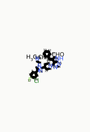 CN(C)CCn1cc(-c2ccc(F)c(Cl)c2)nc1C1CCN(c2ncnc3c2C(=Cc2ccccc2)C(C=O)N3)CC1